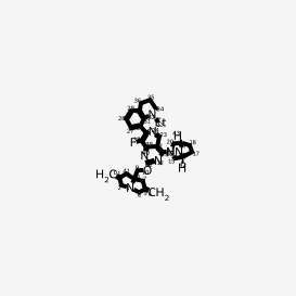 C=C1CN2CC(=C)CC2(COc2nc(N3C[C@H]4CC[C@@H](C3)N4)c3cnc(-c4cccc5c4N(CC)CCC5)c(F)c3n2)C1